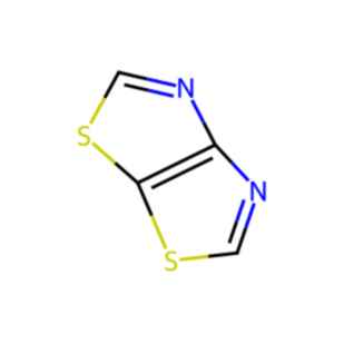 c1nc2ncsc2s1